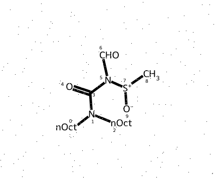 CCCCCCCCN(CCCCCCCC)C(=O)N(C=O)[S+](C)[O-]